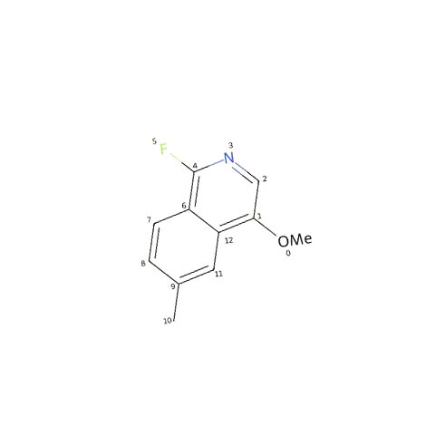 COc1cnc(F)c2ccc(C)cc12